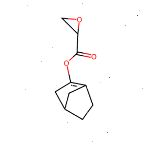 O=C(OC1=C2CCC(C2)C1)C1CO1